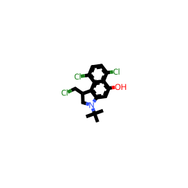 CC(C)(C)N1CC(CCl)c2c1cc(O)c1c(Cl)ccc(Cl)c21